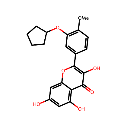 COc1ccc(-c2oc3cc(O)cc(O)c3c(=O)c2O)cc1OC1CCCC1